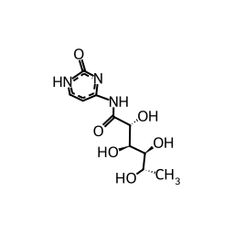 C[C@H](O)[C@H](O)[C@@H](O)[C@@H](O)C(=O)Nc1cc[nH]c(=O)n1